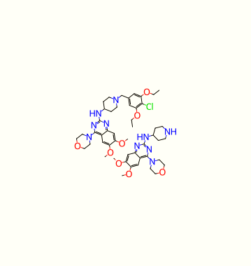 CCOc1cc(CN2CCC(Nc3nc(N4CCOCC4)c4cc(OC)c(OC)cc4n3)CC2)cc(OCC)c1Cl.COc1cc2nc(NC3CCNCC3)nc(N3CCOCC3)c2cc1OC